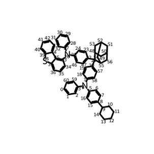 c1ccc(N(c2ccc(C3CCCCC3)cc2)c2ccc(C3(c4ccc(N(c5ccccc5)c5cccc6sc7ccccc7c56)cc4)C4CC5CC(C4)CC3C5)cc2)cc1